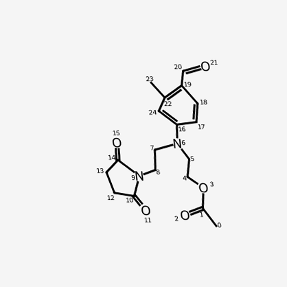 CC(=O)OCCN(CCN1C(=O)CCC1=O)c1ccc(C=O)c(C)c1